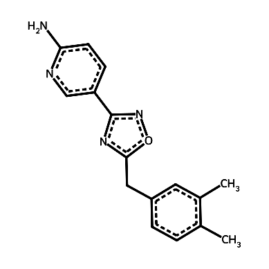 Cc1ccc(Cc2nc(-c3ccc(N)nc3)no2)cc1C